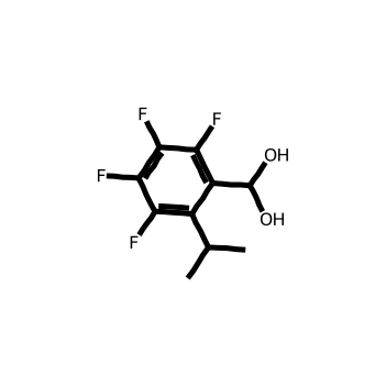 CC(C)c1c(F)c(F)c(F)c(F)c1C(O)O